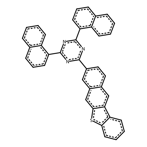 c1ccc2c(-c3nc(-c4ccc5cc6c(cc5c4)sc4ccccc46)nc(-c4cccc5ccccc45)n3)cccc2c1